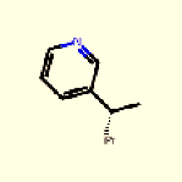 CC(C)[C@@H](C)c1cccnc1